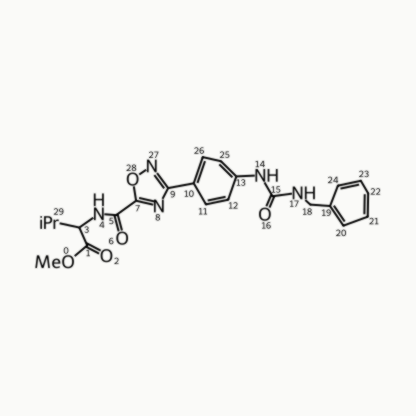 COC(=O)C(NC(=O)c1nc(-c2ccc(NC(=O)NCc3ccccc3)cc2)no1)C(C)C